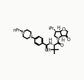 CCCN1CCN(c2ccc(C(=O)N[C@H](C(=O)N3C[C@@H](C(C)C)[C@H]4OCC(=O)[C@H]43)C(C)(C)CC)cc2)CC1